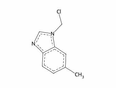 Cc1ccc2ncn(CCl)c2c1